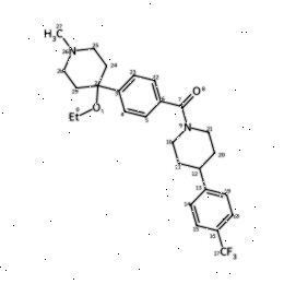 CCOC1(c2ccc(C(=O)N3CCC(c4ccc(C(F)(F)F)cc4)CC3)cc2)CCN(C)CC1